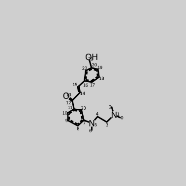 CN(C)CCN(C)c1cccc(C(=O)/C=C/c2cccc(O)c2)c1